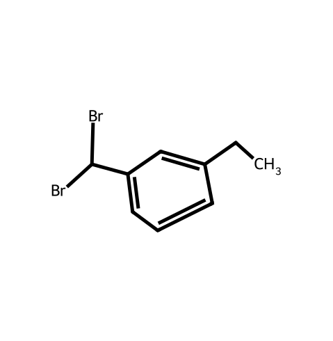 CCc1cccc(C(Br)Br)c1